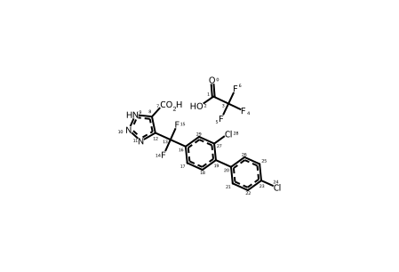 O=C(O)C(F)(F)F.O=C(O)c1[nH]nnc1C(F)(F)c1ccc(-c2ccc(Cl)cc2)c(Cl)c1